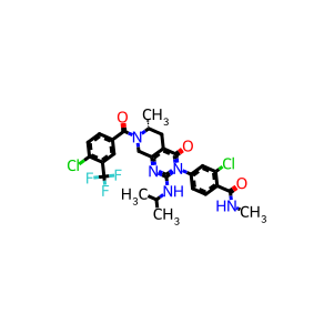 CNC(=O)c1ccc(-n2c(NC(C)C)nc3c(c2=O)C[C@@H](C)N(C(=O)c2ccc(Cl)c(C(F)(F)F)c2)C3)cc1Cl